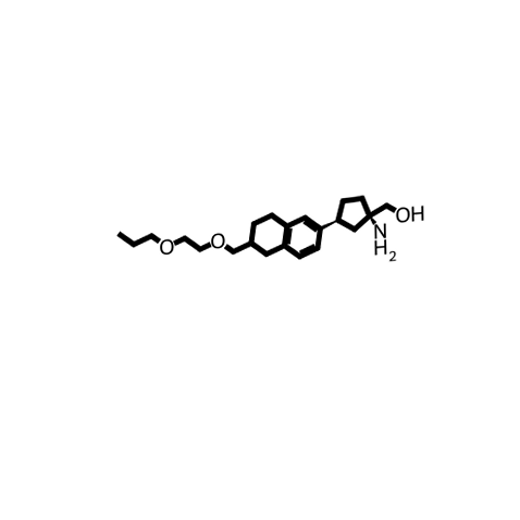 CCCOCCOCC1CCc2cc([C@H]3CC[C@](N)(CO)C3)ccc2C1